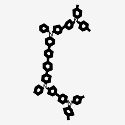 Cc1ccc(N(c2ccc(C)cc2)c2ccc(-c3ccc(N(c4ccccc4)c4ccc(-c5ccc(-c6ccc(-c7ccc(N(c8ccccc8)c8ccc(-c9ccc(N(c%10ccc(C)cc%10)c%10ccc(C)cc%10)cc9)cc8)cc7)cc6)cc5)cc4)cc3)cc2)cc1